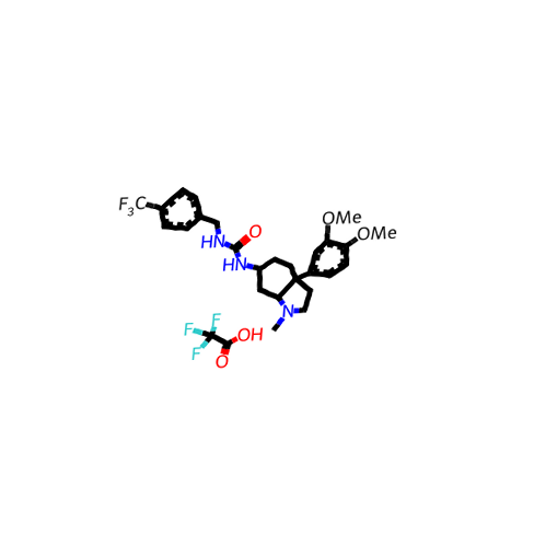 COc1ccc(C23CCC(NC(=O)NCc4ccc(C(F)(F)F)cc4)CC2N(C)CC3)cc1OC.O=C(O)C(F)(F)F